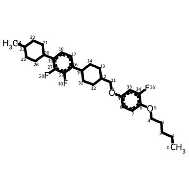 CCCCCOc1ccc(OCC2CCC(c3ccc(C4CCC(C)CC4)c(F)c3F)CC2)cc1F